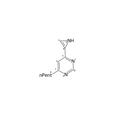 CCCCCc1cc(C2=CN2)ncn1